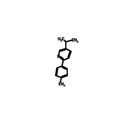 Cc1ccc(-c2ccc(C(C)C)cn2)cc1